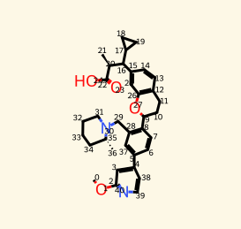 COc1cc(-c2ccc(C3CCc4ccc(C(C5CC5)[C@H](C)C(=O)O)cc4O3)c(CN3CCCC[C@H]3C)c2)ccn1